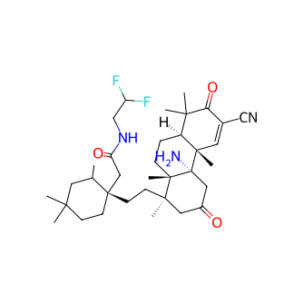 CC1CC(C)(C)CC[C@@]1(CC[C@]1(C)CC(=O)C[C@@]2(N)[C@@]1(C)CC[C@H]1C(C)(C)C(=O)C(C#N)=C[C@@]12C)CC(=O)NCC(F)F